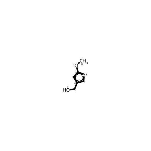 COc1cc(CO)cs1